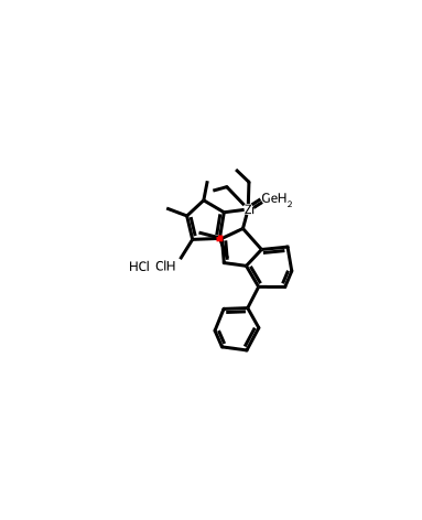 C[CH2][Zr](=[GeH2])([CH2]C)([C]1=C(C)C(C)=C(C)C1C)[CH]1C(C)=Cc2c(-c3ccccc3)cccc21.Cl.Cl